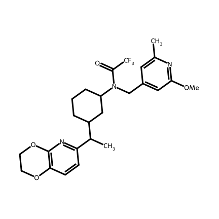 COc1cc(CN(C(=O)C(F)(F)F)C2CCCC(C(C)c3ccc4c(n3)OCCO4)C2)cc(C)n1